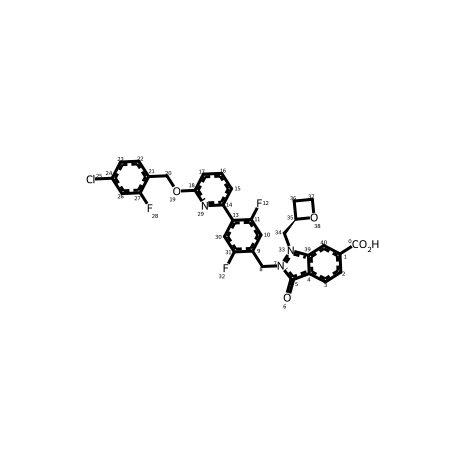 O=C(O)c1ccc2c(=O)n(Cc3cc(F)c(-c4cccc(OCc5ccc(Cl)cc5F)n4)cc3F)n(C[C@H]3CCO3)c2c1